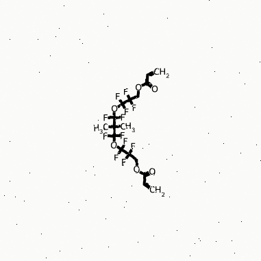 C=CC(=O)OCC(F)(F)C(F)(F)OC(F)(F)C(C)(C)C(F)(F)OC(F)(F)C(F)(F)COC(=O)C=C